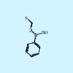 OB(OCF)c1ccccc1